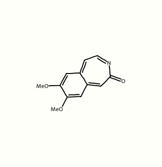 COc1cc2ccnc(=O)cc2cc1OC